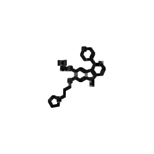 COc1cc2c(cc1OCCCN1CCCC1)[nH]c1ccnc(C3=CCOCC3)c12.Cl